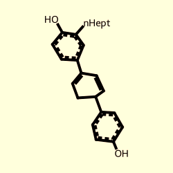 CCCCCCCc1cc(C2=CCC(c3ccc(O)cc3)C=C2)ccc1O